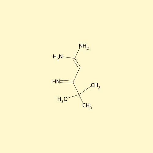 CC(C)(C)C(=N)C=C(N)N